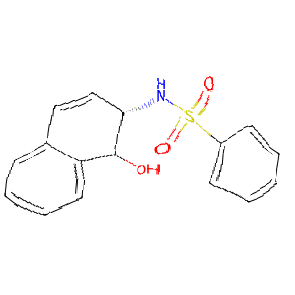 O=S(=O)(N[C@H]1C=Cc2ccccc2C1O)c1ccccc1